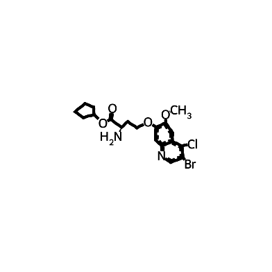 COc1cc2c(Cl)c(Br)cnc2cc1OCC[C@H](N)C(=O)OC1CCCC1